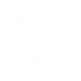 CC(=O)O.Oc1cc(O)cc(O)c1